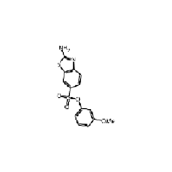 COc1cccc(OS(=O)(=O)c2ccc3nc(N)sc3c2)c1